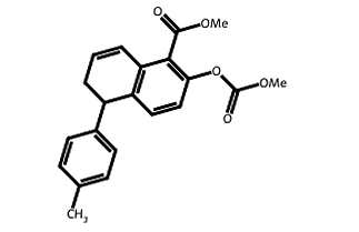 COC(=O)Oc1ccc2c(c1C(=O)OC)C=CCC2c1ccc(C)cc1